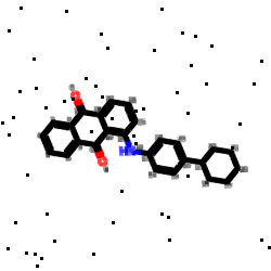 O=C1c2ccccc2C(=O)c2c(Nc3ccc(C4CCCCC4)cc3)cccc21